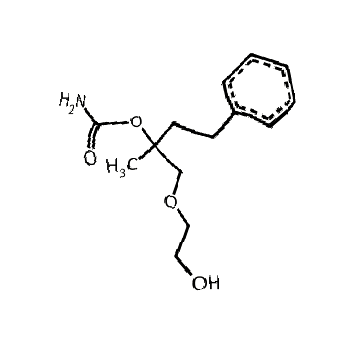 CC(CCc1ccccc1)(COCCO)OC(N)=O